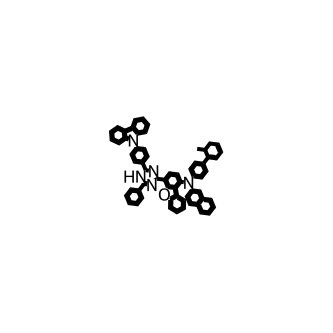 CC1CC=CC=C1c1ccc(N(c2ccc3ccccc3c2)c2ccc(C3=NC(c4ccc(-n5c6ccccc6c6ccccc65)cc4)NC(c4ccccc4)=N3)c3oc4ccccc4c23)cc1